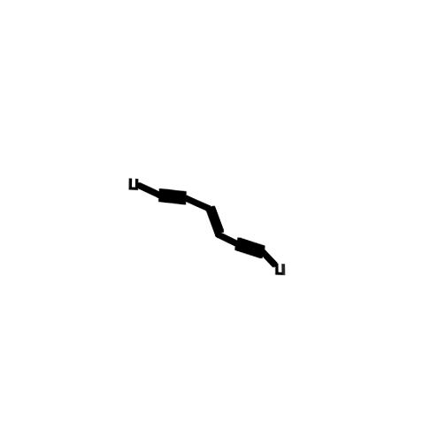 [Li][C]#CC=CC#[C][Li]